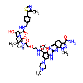 COc1c(Nc2ncc3c(n2)-c2c(c(C(N)=O)nn2C)CC3)cc(N2CCN(C)CC2)cc1C(=O)NCCOCC(=O)N[C@H](C(=O)N1C[C@H](O)C[C@H]1C(=O)NCc1ccc(-c2scnc2C)cc1)C(C)(C)C